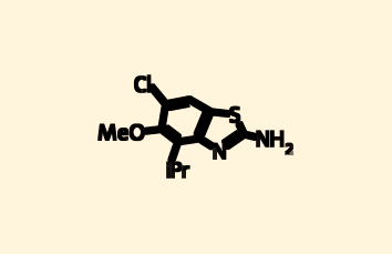 COc1c(Cl)cc2sc(N)nc2c1C(C)C